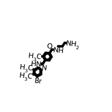 Cc1cc(C(=O)NCCCN)ccc1-c1nc2cc(Br)c(C)c(C)c2[nH]1